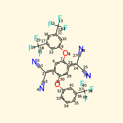 N#CC(C#N)=c1cc(Oc2cc(C(F)(F)F)cc(C(F)(F)F)c2)c(=C(C#N)C#N)cc1Oc1cccc(C(F)(F)F)c1